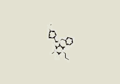 CCCn1c(=O)c2c(nc(-c3ccc(OC)cc3)n2Cc2ccccc2)n(C)c1=O